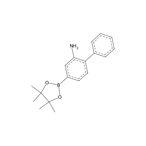 CC1(C)OB(c2ccc(-c3ccccc3)c(N)c2)OC1(C)C